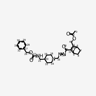 CC(=O)OCC1C2CCC(O2)C1C(=O)N=NCN1CCC(CNC(=O)OCc2ccccc2)CC1